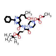 CCOC(=O)ON1CCN(C(=O)[C@H](CCC(=O)OC(C)(C)C)NC(=O)c2cc(CC(C)CO)nc(-c3ccccc3)n2)CC1